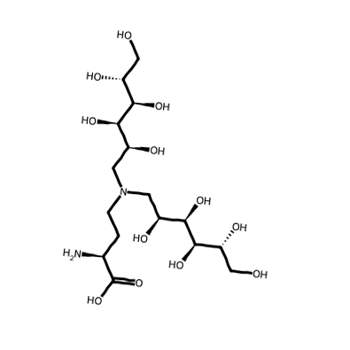 N[C@@H](CCN(C[C@H](O)[C@@H](O)[C@H](O)[C@H](O)CO)C[C@H](O)[C@@H](O)[C@H](O)[C@H](O)CO)C(=O)O